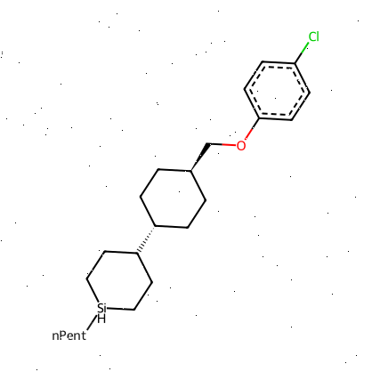 CCCCC[SiH]1CCC([C@H]2CC[C@H](COc3ccc(Cl)cc3)CC2)CC1